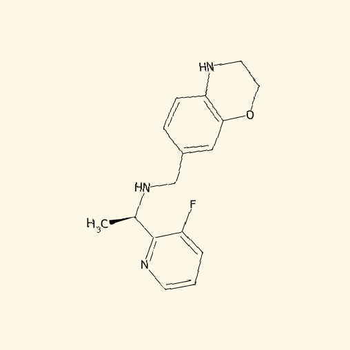 C[C@@H](NCc1ccc2c(c1)OCCN2)c1ncccc1F